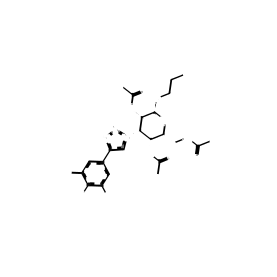 CCCS[C@H]1O[C@H](COC(C)=O)[C@H](OC(C)=O)[C@H](n2cc(-c3cc(F)c(F)c(F)c3)nn2)[C@H]1OC(C)=O